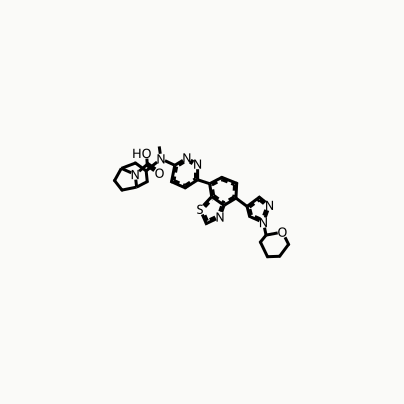 CN(c1ccc(-c2ccc(-c3cnn(C4CCCCO4)c3)c3ncsc23)nn1)C1CC2CCC(C1)N2C(=O)O